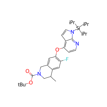 CC1CN(C(=O)OC(C)(C)C)Cc2cc(Oc3ccnc4c3ccn4[Si](C(C)C)(C(C)C)C(C)C)c(F)cc21